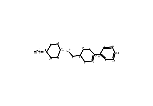 CCC[C@H]1CC[C@H](CCC2CC=C(c3ccccc3)CC2)CC1